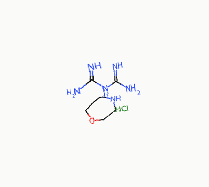 C1COCCN1.Cl.N=C(N)NC(=N)N